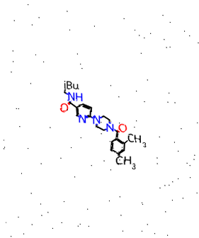 CCC(C)CNC(=O)c1ccc(N2CCN(C(=O)c3ccc(C)cc3C)CC2)nc1